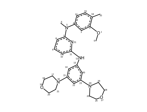 COc1cc(N(C)c2ccnc(Nc3cc(N4CCOCC4)cc(N4CCOCC4)c3)n2)ccc1C